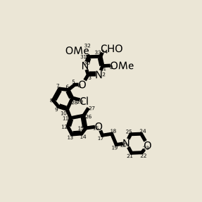 COc1nc(OCc2cccc(-c3cccc(OCCCN4CCOCC4)c3C)c2Cl)nc(OC)c1C=O